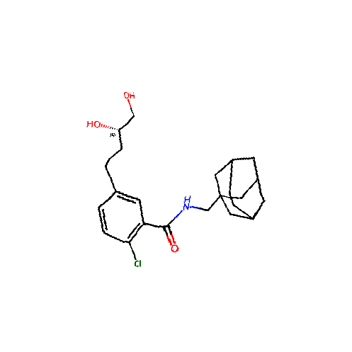 O=C(NCC12CC3CC(CC(C3)C1)C2)c1cc(CC[C@H](O)CO)ccc1Cl